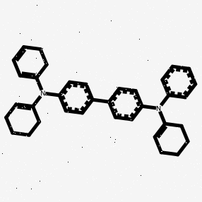 C1=CCCC(N(C2=CCCCC2)c2ccc(-c3ccc(N(C4=CCCCC4)c4ccccc4)cc3)cc2)=C1